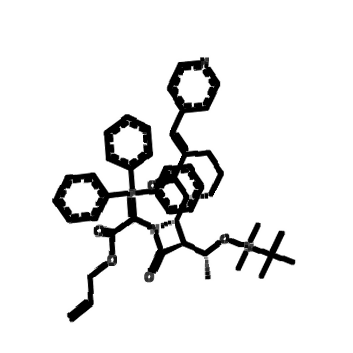 C=CCOC(=O)C(N1C(=O)[C@H]([C@@H](C)O[Si](C)(C)C(C)(C)C)[C@H]1[C@H]1CCC/C(=C\c2ccncc2)C1=O)=P(c1ccccc1)(c1ccccc1)c1ccccc1